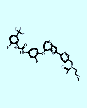 COCCN(Cc1ccc(-c2cc3nccc(Oc4ccc(NC(=O)Nc5cc(C(F)(F)F)ccc5F)cc4F)c3s2)nc1)C(C)=O